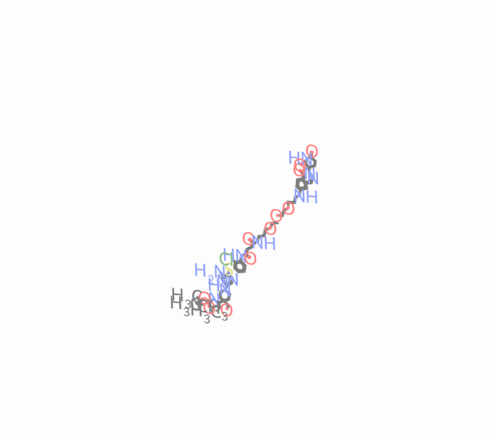 C[C@@H]1OCC2(CCN(c3cnc(Sc4cccc(NC(=O)CCC(=O)NCCCOCCOCCOCCCNc5ccc6c(=O)n(C7CCC(=O)NC7=O)ncc6c5)c4Cl)c(N)n3)CC2)[C@@H]1NC(=O)OC(C)(C)C